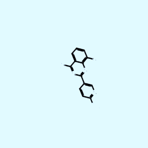 Nc1nc(-c2ccc(C(F)(F)F)nc2)nc2c(N)cccc12